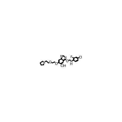 Cl.Fc1cc(Cl)ccc1NCOc1ncnc2cc(OCCOCCN3CCCC3)ccc12